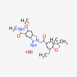 Br.CCOc1cc2c(cc1C(=O)NC)C(=N)N(CC(=O)c1cc(CC)c3c(c1)C(C)(C)CO3)C2